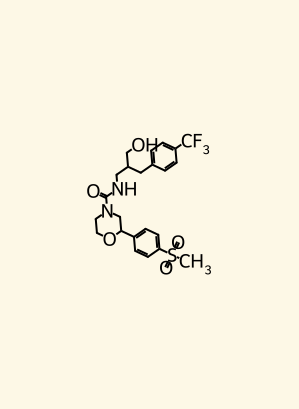 CS(=O)(=O)c1ccc(C2CN(C(=O)NCC(CO)Cc3ccc(C(F)(F)F)cc3)CCO2)cc1